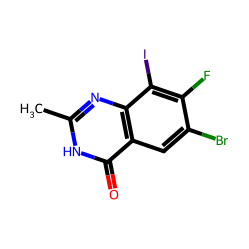 Cc1nc2c(I)c(F)c(Br)cc2c(=O)[nH]1